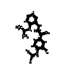 CC(C)Oc1ncncc1CNC(=O)c1cnc(OC(F)F)c(F)c1